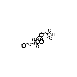 O=C1NC(=O)C(Cc2ccc(Cn3c(=O)n(CCOCc4ccccc4)c(=O)c4cccnc43)cc2)S1